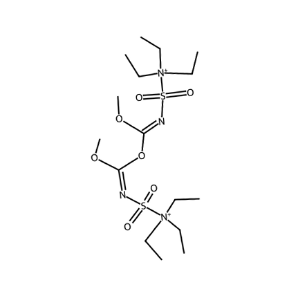 CC[N+](CC)(CC)S(=O)(=O)N=C(OC)OC(=NS(=O)(=O)[N+](CC)(CC)CC)OC